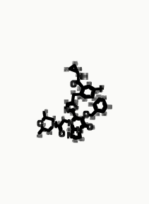 CC1CN(C(=O)Cn2c(-c3ncc(Cc4ccc(F)cc4C(=O)NC4CC4)s3)c(OCc3ccccc3)c(=O)n3ccnc23)CC(C)O1